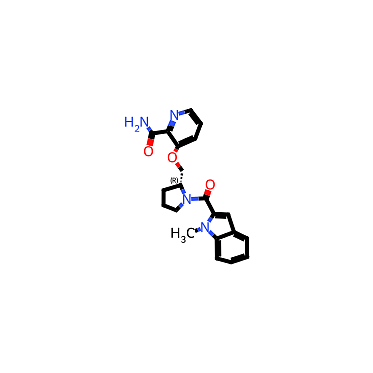 Cn1c(C(=O)N2CCC[C@@H]2COc2cccnc2C(N)=O)cc2ccccc21